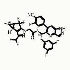 C[C@H]1C2[C@H]1c1c(C(F)F)nn(CC(=O)N[C@@H](Cc3cc(F)cc(F)c3)c3nc4cn[nH]c4cc3-c3ccc(C#N)c(F)c3)c1C2(F)F